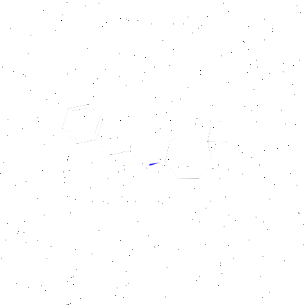 CC1(C)OC[C@H](NCCc2ccccc2)[C@@H](O)CO1